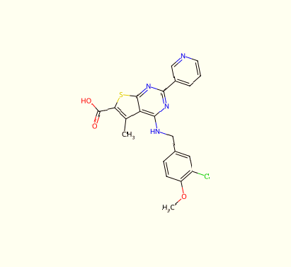 COc1ccc(CNc2nc(-c3cccnc3)nc3sc(C(=O)O)c(C)c23)cc1Cl